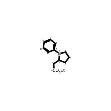 CCOC(=O)CC1CCCN1c1ccccc1